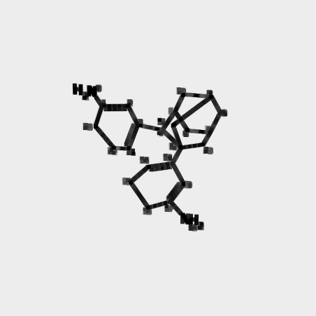 NC1=CC(C2C3CC4CC(C3)CC2(C2=CCCC(N)=C2)C4)=CCC1